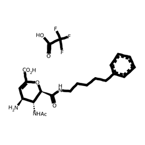 CC(=O)N[C@@H]1[C@@H](N)C=C(C(=O)O)O[C@H]1C(=O)NCCCCCc1ccccc1.O=C(O)C(F)(F)F